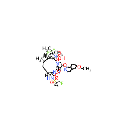 CCOc1ccc2c(O[C@@H]3C[C@H]4C(=O)N[C@]5(C(=O)NS(=O)(=O)C6(CF)CC6)C[C@H]5C=CCC[C@@H](C)C[C@@H](C)[C@H](N(C(=O)O)C(C)(C)C(C)(F)F)C(=O)N4C3)nccc2c1